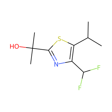 CC(C)c1sc(C(C)(C)O)nc1C(F)F